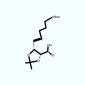 CCCCCCCCCCCCC=C[C@H]1OC(C)(C)O[C@H]1[C@@H](O)CC